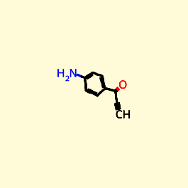 C#CC(=O)c1ccc(N)cc1